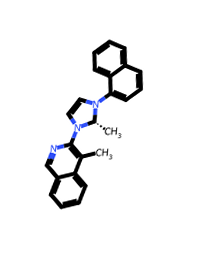 Cc1c(N2C=CN(c3cccc4ccccc34)[C@@H]2C)ncc2ccccc12